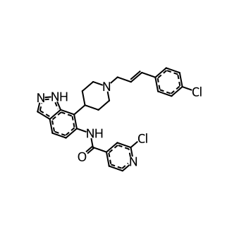 O=C(Nc1ccc2cn[nH]c2c1C1CCN(C/C=C/c2ccc(Cl)cc2)CC1)c1ccnc(Cl)c1